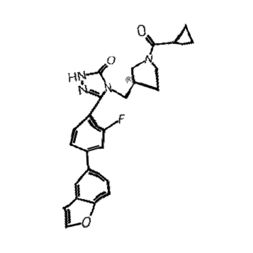 O=C(C1CC1)N1CC[C@@H](Cn2c(-c3ccc(-c4ccc5occc5c4)cc3F)n[nH]c2=O)C1